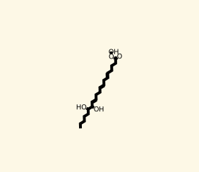 CCCCCC(O)C(O)C=CCCC=CCC=CCCCC(=O)OO